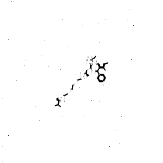 Cc1sc2c(c1C)C(c1ccc(Cl)cc1)=N[C@@H](CC(=O)NCCOCCOCCNC(=O)C(C)C)c1nnc(C)n1-2